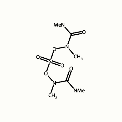 CNC(=O)N(C)OS(=O)(=O)ON(C)C(=O)NC